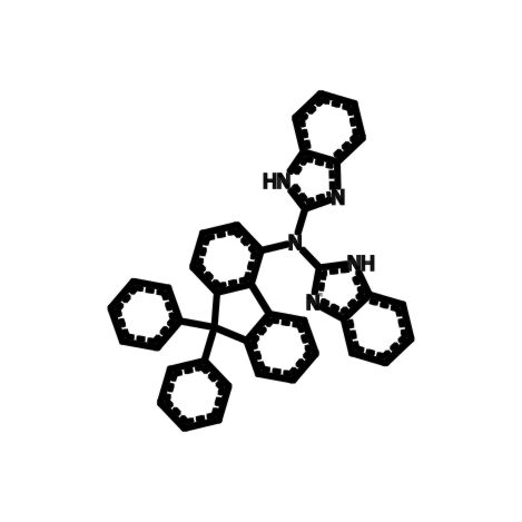 c1ccc(C2(c3ccccc3)c3ccccc3-c3c(N(c4nc5ccccc5[nH]4)c4nc5ccccc5[nH]4)cccc32)cc1